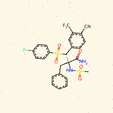 CS(=O)(=O)NC(Cc1ccccc1)(C(N)=O)[C@@H](c1ccc(C#N)c(C(F)(F)F)c1)S(=O)(=O)c1ccc(F)cc1